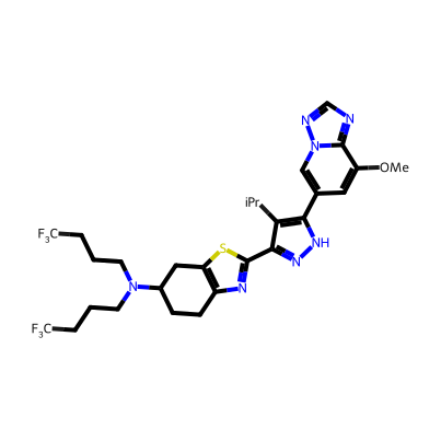 COc1cc(-c2[nH]nc(-c3nc4c(s3)CC(N(CCCC(F)(F)F)CCCC(F)(F)F)CC4)c2C(C)C)cn2ncnc12